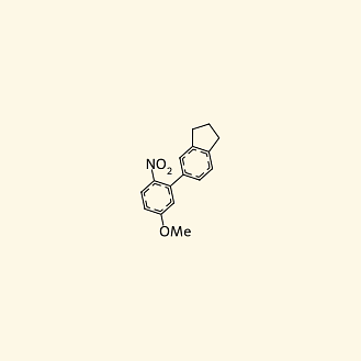 COc1ccc([N+](=O)[O-])c(-c2ccc3c(c2)CCC3)c1